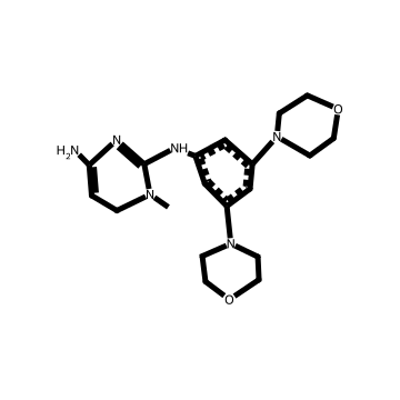 CN1CC=C(N)N=C1Nc1cc(N2CCOCC2)cc(N2CCOCC2)c1